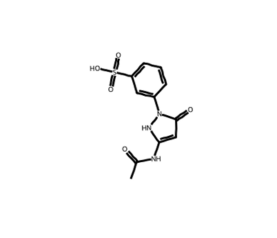 CC(=O)Nc1cc(=O)n(-c2cccc(S(=O)(=O)O)c2)[nH]1